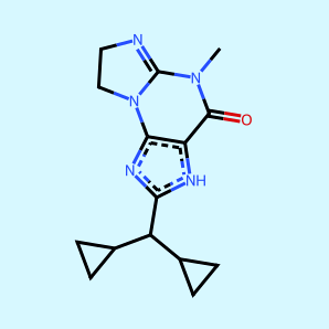 CN1C(=O)c2[nH]c(C(C3CC3)C3CC3)nc2N2CCN=C12